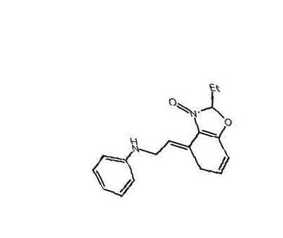 CCC1OC2=C(C(=CCNc3ccccc3)CC=C2)[N+]1=O